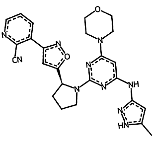 Cc1cc(Nc2cc(N3CCOCC3)nc(N3CCC[C@H]3c3cc(-c4cccnc4C#N)no3)n2)n[nH]1